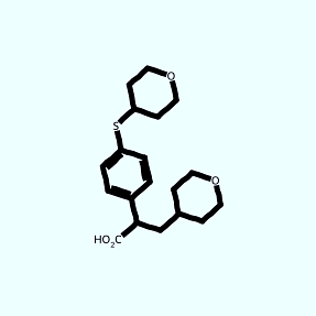 O=C(O)C(CC1CCOCC1)c1ccc(SC2CCOCC2)cc1